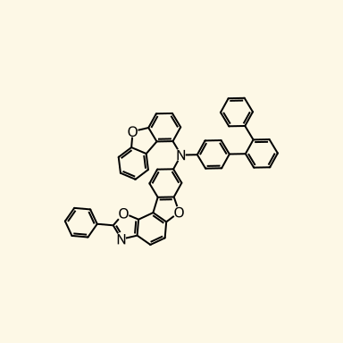 c1ccc(-c2nc3ccc4oc5cc(N(c6ccc(-c7ccccc7-c7ccccc7)cc6)c6cccc7oc8ccccc8c67)ccc5c4c3o2)cc1